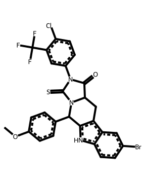 COc1ccc(C2c3[nH]c4ccc(Br)cc4c3CC3C(=O)N(c4ccc(Cl)c(C(F)(F)F)c4)C(=S)N32)cc1